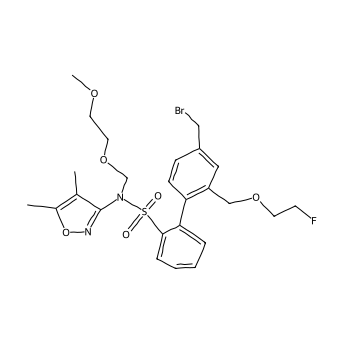 COCCOCN(c1noc(C)c1C)S(=O)(=O)c1ccccc1-c1ccc(CBr)cc1COCCF